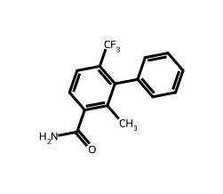 Cc1c(C(N)=O)ccc(C(F)(F)F)c1-c1ccccc1